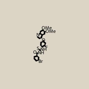 COc1cc2nccc(Oc3ccc(NC(=S)NC(=O)c4cccc(Br)c4)c(F)c3)c2cc1OC